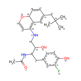 CC(=O)NC(Cc1ccc(O)c(F)c1)C(O)CNC1=C2C=C(CC(C)(C)C)C=CC2OC=C1